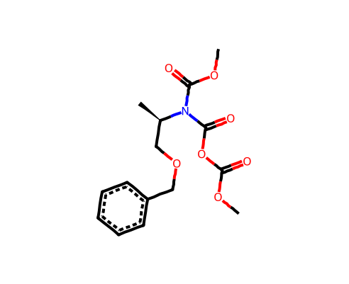 COC(=O)OC(=O)N(C(=O)OC)[C@H](C)COCc1ccccc1